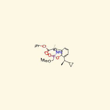 COCP(=O)(N[C@@H](C)C(=O)OC(C)C)Oc1c(C(C)C)cccc1[C@H](C)C1CC1